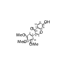 COc1cc(-c2coc3cc(O)ccc3c2=O)cc(OC)c1OC